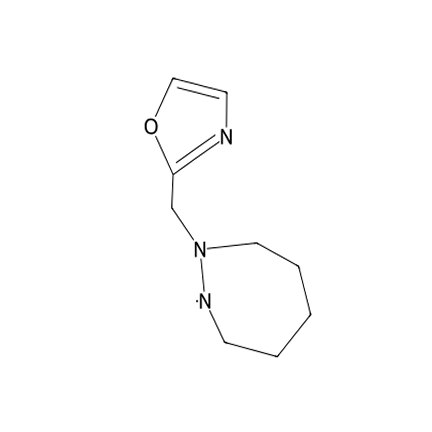 c1coc(CN2CCCCC[N]2)n1